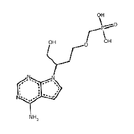 Nc1ncnc2c1ccn2C(CO)CCOCP(=O)(O)O